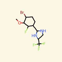 COC1C(Br)CCC(C2NCC(C(F)(F)F)N2)C1F